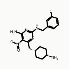 Nc1nc(NCc2cccc(F)c2)nc(C[C@H]2CC[C@H](N)CC2)c1[N+](=O)[O-]